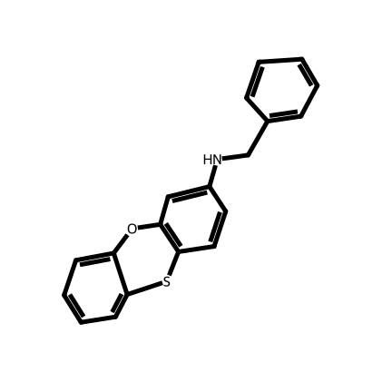 c1ccc(CNc2ccc3c(c2)Oc2ccccc2S3)cc1